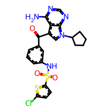 Nc1ncnc2c1c(C(=O)c1cccc(NS(=O)(=O)c3ccc(Cl)s3)c1)cn2C1CCCC1